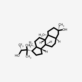 CC(C)([C@H](O)C(F)(F)F)[C@H]1CC[C@H]2[C@@H]3CC[C@@H]4C[C@](C)(O)CC[C@]4(C)[C@H]3CC[C@]12C